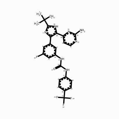 CC(C)(C)c1nc(-c2cc(F)cc(NC(=O)Nc3ccc(C(F)(F)F)cc3)c2)c(-c2ccnc(N)n2)[nH]1